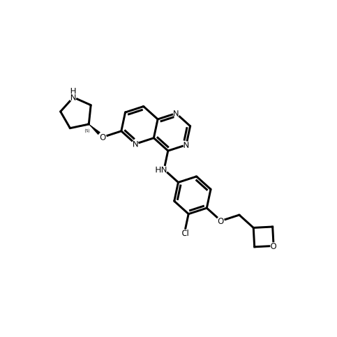 Clc1cc(Nc2ncnc3ccc(O[C@H]4CCNC4)nc23)ccc1OCC1COC1